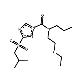 CCCN(CCOCC)C(=O)n1cnc(S(=O)(=O)CC(C)C)n1